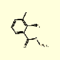 CCCCCOC(=O)c1cccc(C)c1N